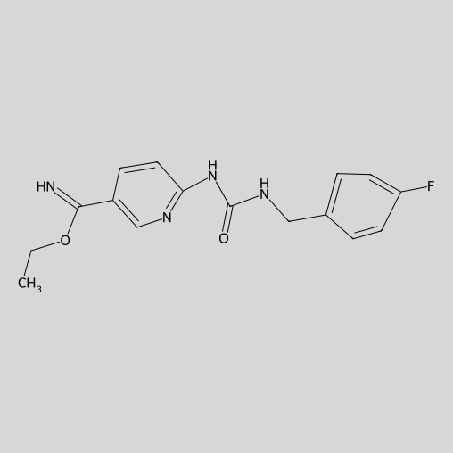 CCOC(=N)c1ccc(NC(=O)NCc2ccc(F)cc2)nc1